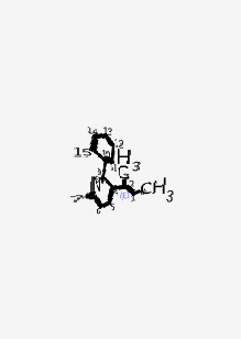 C/C=C(\C)c1cccnc1-c1ccccc1